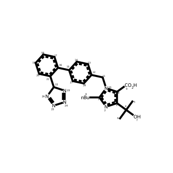 CCCCc1nc(C(C)(C)O)c(C(=O)O)n1Cc1ccc(-c2ccccc2C2N=NN=N2)cc1